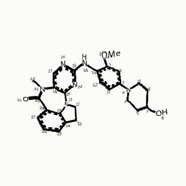 COc1cc(N2CCC(O)CC2)ccc1Nc1ncc2c(n1)N1CCc3cccc(c31)C(=O)N2C